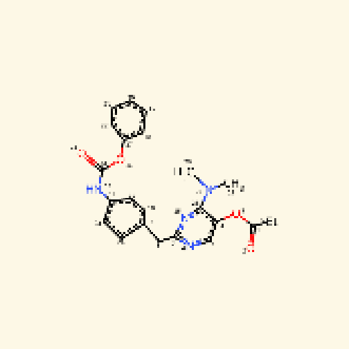 CCC(=O)Oc1cnc(Cc2ccc(NC(=O)Oc3ccccc3)cc2)nc1N(C)C